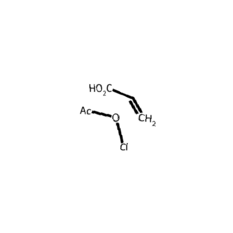 C=CC(=O)O.CC(=O)OCl